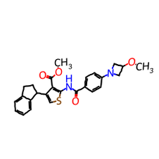 COC(=O)c1c(C2CCc3ccccc32)csc1NC(=O)c1ccc(N2CC(OC)C2)cc1